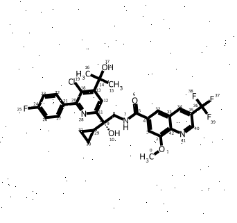 COc1cc(C(=O)NC[C@](O)(c2cc(C(C)(C)O)c(Cl)c(-c3ccc(F)cc3)n2)C2CC2)cc2cc(C(F)(F)F)cnc12